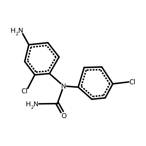 NC(=O)N(c1ccc(Cl)cc1)c1ccc(N)cc1Cl